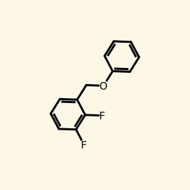 Fc1cccc(COc2ccccc2)c1F